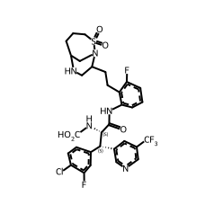 O=C(O)N[C@H](C(=O)Nc1cccc(F)c1CCC1CNC2CCCS(=O)(=O)N1C2)[C@H](c1cncc(C(F)(F)F)c1)c1ccc(Cl)c(F)c1